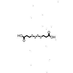 O=C(O)CCSSSSCCC(=O)O